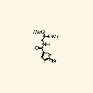 COC(CNC(=O)c1ccc(Br)s1)OC